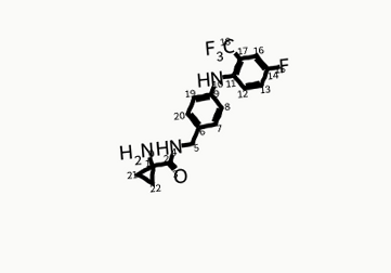 NC1(C(=O)NCc2ccc(Nc3ccc(F)cc3C(F)(F)F)cc2)CC1